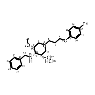 CO[C@@H]1CN(CCCOc2ccc(F)cc2)CC[C@@H]1NCc1ccccc1.Cl.Cl